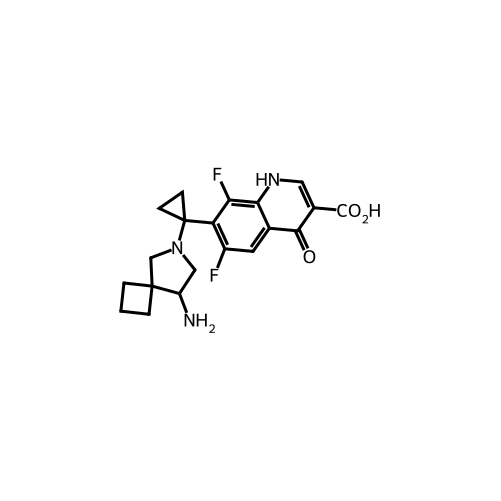 NC1CN(C2(c3c(F)cc4c(=O)c(C(=O)O)c[nH]c4c3F)CC2)CC12CCC2